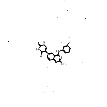 Nc1nc(Nc2cccc(Br)c2)c2cc(-c3c[nH]c(=O)[nH]c3=O)ccc2n1